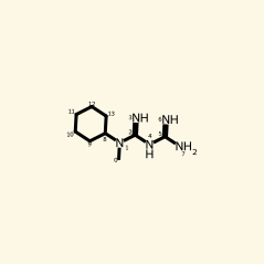 CN(C(=N)NC(=N)N)C1CCCCC1